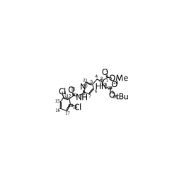 COC(=O)[C@H](Cc1ccc(NC(=O)c2c(Cl)cccc2Cl)nc1)NC(=O)OC(C)(C)C